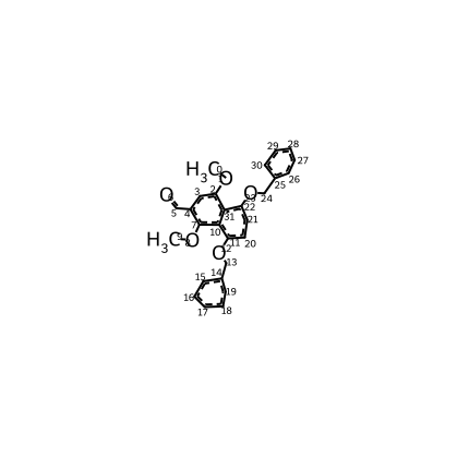 COc1cc(C=O)c(OC)c2c(OCc3ccccc3)ccc(OCc3ccccc3)c12